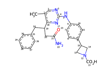 Cc1cnc(Nc2ccc(C3CN(C(=O)O)C3)cc2)nc1C(CC(N)=O)Cc1ccccc1